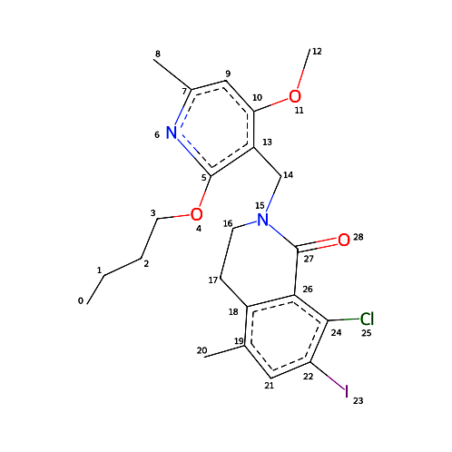 CCCCOc1nc(C)cc(OC)c1CN1CCc2c(C)cc(I)c(Cl)c2C1=O